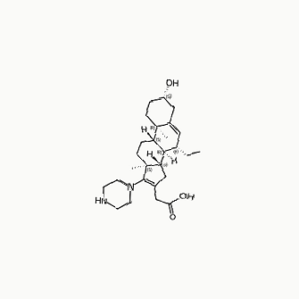 CC[C@H]1C=C2C[C@@H](O)CC[C@]2(C)[C@H]2CC[C@]3(C)C(N4CCNCC4)=C(CC(=O)O)C[C@H]3[C@H]12